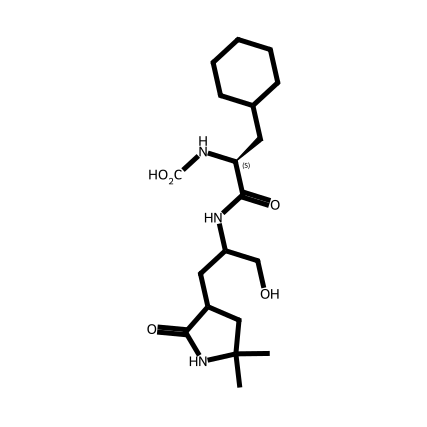 CC1(C)CC(CC(CO)NC(=O)[C@H](CC2CCCCC2)NC(=O)O)C(=O)N1